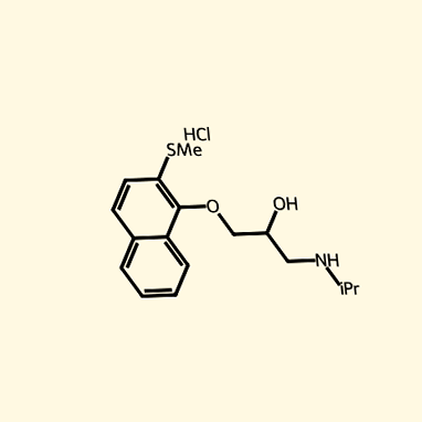 CSc1ccc2ccccc2c1OCC(O)CNC(C)C.Cl